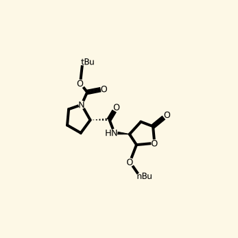 CCCCOC1OC(=O)C[C@@H]1NC(=O)[C@@H]1CCCN1C(=O)OC(C)(C)C